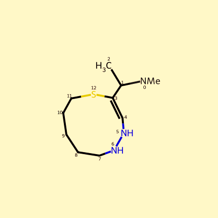 CNC(C)/C1=C/NNCCCCCS1